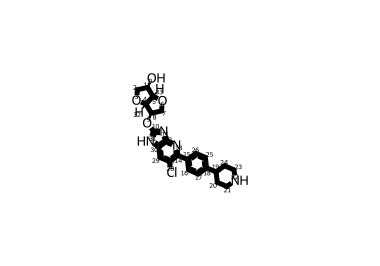 O[C@@H]1CO[C@H]2[C@@H]1OC[C@H]2Oc1nc2nc(-c3ccc(C4CCNCC4)cc3)c(Cl)cc2[nH]1